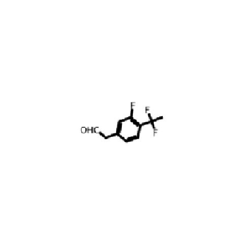 CC(F)(F)c1ccc(CC=O)cc1F